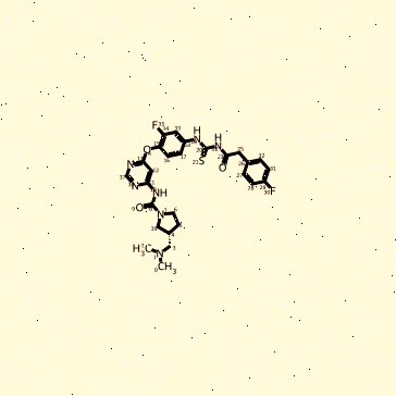 CN(C)C[C@H]1CCN(C(=O)Nc2cc(Oc3ccc(NC(=S)NC(=O)Cc4ccc(F)cc4)cc3F)ncn2)C1